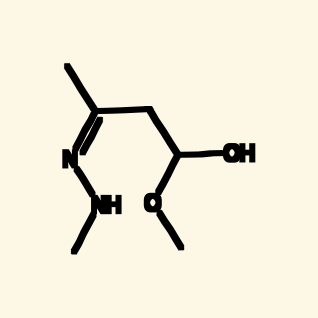 CN/N=C(/C)CC(O)OC